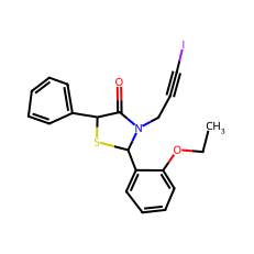 CCOc1ccccc1C1SC(c2ccccc2)C(=O)N1CC#CI